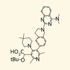 Cc1nc(C)c([C@H](OC(C)(C)C)C(=O)O)c(N2CCC(C)(C)CC2)c1-c1ccc2c(c1)CCN(c1nc(N(C)C)c3ccccc3n1)C2